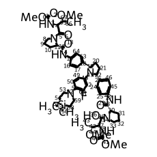 COC(=O)N[C@H](C(=O)N1CCC[C@H]1C(=O)Nc1ccc([C@H]2CC[C@H](c3ccc(NC(=O)[C@@H]4CCCN4C(O)[C@@H](NC(=O)OC)[C@@H](C)OC)cc3)N2c2ccc(N3CC[Si](C)(C)CC3)c(F)c2)cc1)[C@@H](C)OC